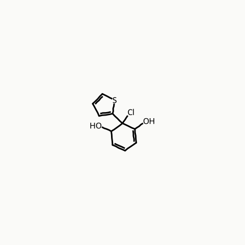 OC1=CC=CC(O)C1(Cl)c1cccs1